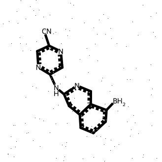 Bc1cccc2cc(Nc3cnc(C#N)cn3)ncc12